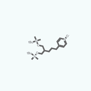 CC(C)(C)[Si](C)(C)OCC(CCCc1cc[n+]([O-])cc1)CO[Si](C)(C)C(C)(C)C